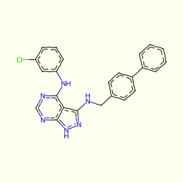 Clc1cccc(Nc2ncnc3[nH]nc(NCc4ccc(-c5ccccc5)cc4)c23)c1